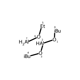 CCC(C)[O][AlH][O]C(C)CC.CC[O][AlH2]